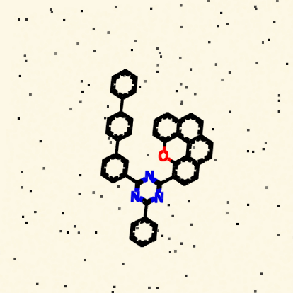 c1ccc(-c2ccc(-c3cccc(-c4nc(-c5ccccc5)nc(-c5ccc6ccc7ccc8cccc9c8c7c6c5O9)n4)c3)cc2)cc1